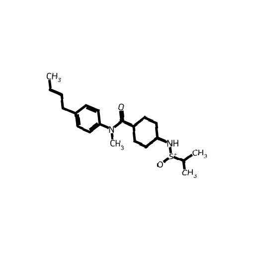 CCCCc1ccc(N(C)C(=O)C2CCC(N[S+]([O-])C(C)C)CC2)cc1